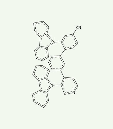 N#Cc1ccc(-c2cccc(-c3ccncc3-n3c4ccccc4c4ccccc43)c2)c(-n2c3ccccc3c3ccccc32)c1